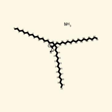 CCCCCCCCCCCCCCCCC(CCCCCCCCCCCCCCCC)(CCCCCCCCCCCCCCCC)C(=O)OC.N